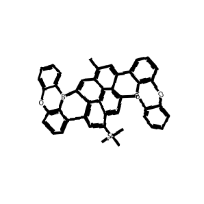 Cc1cc2c3c(cc4c([Si](C)(C)C)cc5c6c(cc1c3c46)B1c3ccccc3Oc3cccc-5c31)B1c3ccccc3Oc3cccc-2c31